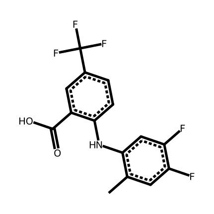 Cc1cc(F)c(F)cc1Nc1ccc(C(F)(F)F)cc1C(=O)O